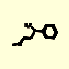 CO/C=P/P(P)c1ccccc1